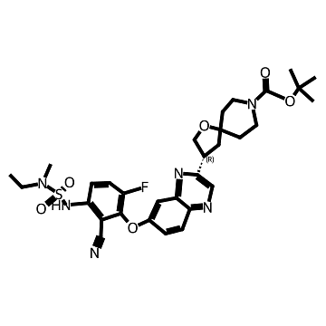 CCN(C)S(=O)(=O)Nc1ccc(F)c(Oc2ccc3ncc([C@@H]4COC5(CCN(C(=O)OC(C)(C)C)CC5)C4)nc3c2)c1C#N